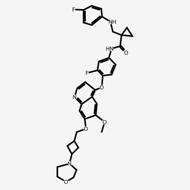 COc1cc2c(Oc3ccc(NC(=O)C4(CNc5ccc(F)cc5)CC4)cc3F)ccnc2cc1OCC1CC(N2CCOCC2)C1